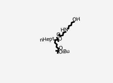 CCCCCCCC(CCCC(=O)C(C)(C)OCC(C)C)C(C)(C)OC(=O)CCCNCCCCCO